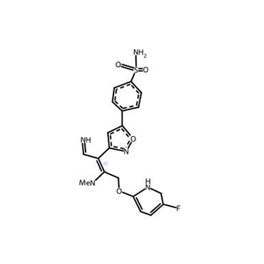 CN/C(COC1=CC=C(F)CN1)=C(\C=N)c1cc(-c2ccc(S(N)(=O)=O)cc2)on1